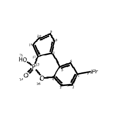 CC(C)c1ccc2c(c1)-c1ccccc1P(=O)(O)O2